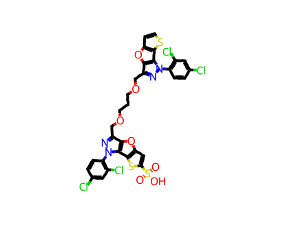 O=S(=O)(O)c1cc2oc3c(COCCCOCc4nn(-c5ccc(Cl)cc5Cl)c5c4oc4ccsc45)nn(-c4ccc(Cl)cc4Cl)c3c2s1